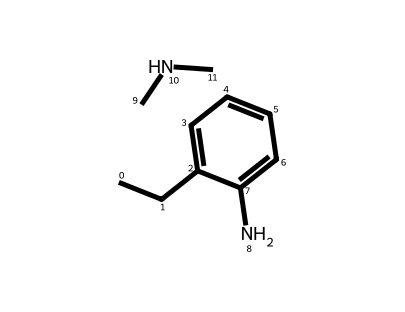 CCc1ccccc1N.CNC